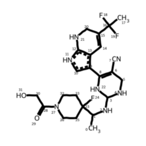 CC(NC1NCC(C#N)=C(c2c[nH]c3c2C=C(C(C)(F)F)CN3)N1)C1(F)CCN(C(=O)CO)CC1